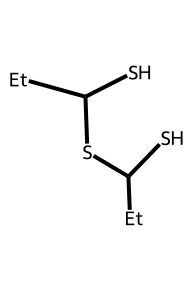 CCC(S)SC(S)CC